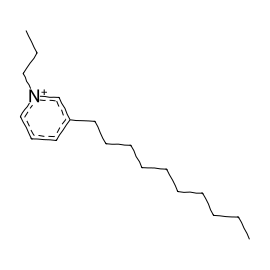 CCCCCCCCCCc1ccc[n+](CCC)c1